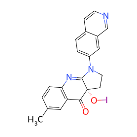 Cc1ccc2c(c1)C(=O)[C@]1(OI)CCN(c3ccc4ccncc4c3)C1=N2